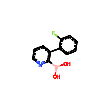 OB(O)c1ncccc1-c1ccccc1F